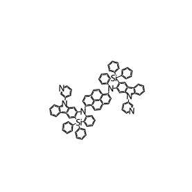 c1ccc([Si]2(c3ccccc3)c3ccccc3N(c3ccc4ccc5c(N6c7ccccc7[Si](c7ccccc7)(c7ccccc7)c7cc8c9ccccc9n(-c9cccnc9)c8cc76)ccc6ccc3c4c65)c3cc4c(cc32)c2ccccc2n4-c2cccnc2)cc1